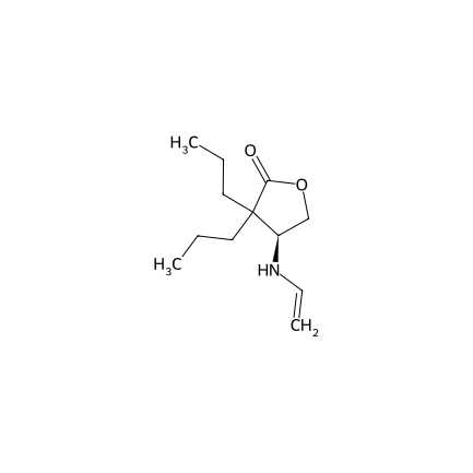 C=CN[C@@H]1COC(=O)C1(CCC)CCC